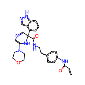 C=CC(=O)Nc1ccc(CCNC(=O)C2(c3cccc4[nH]ncc34)C=NC=C(N3CCOCC3)N2)cc1